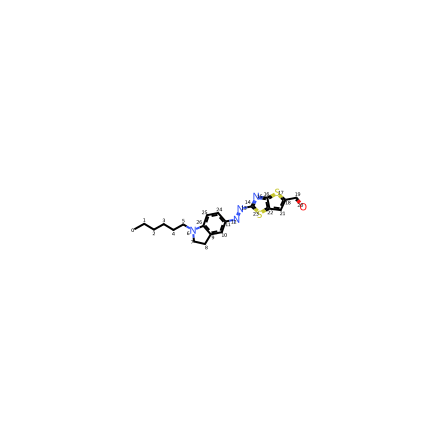 CCCCCCN1CCc2cc(/N=N/c3nc4sc(C=O)cc4s3)ccc21